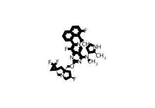 C#Cc1c(F)ccc2cccc(-c3ncc4c(N(C)[C@@H]5CCN[C@@H]5C)nc(OC[C@]56C[C@@H](F)CN5C[C@@]5(CC5(F)F)C6)nc4c3F)c12